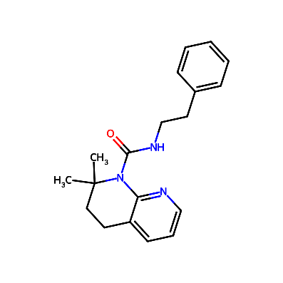 CC1(C)CCc2cccnc2N1C(=O)NCCc1ccccc1